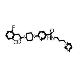 O=C(NCCCn1ccnc1)c1ccc(N2CCN(C(=O)Cc3c(F)cccc3Cl)CC2)nc1